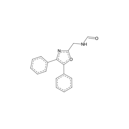 O=CNCc1nc(-c2ccccc2)c(-c2ccccc2)o1